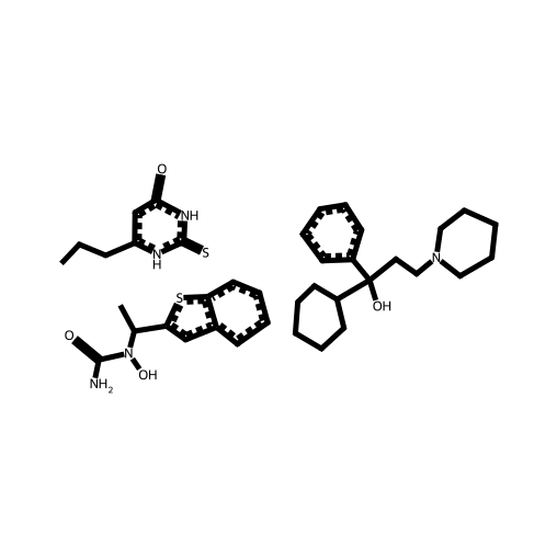 CC(c1cc2ccccc2s1)N(O)C(N)=O.CCCc1cc(=O)[nH]c(=S)[nH]1.OC(CCN1CCCCC1)(c1ccccc1)C1CCCCC1